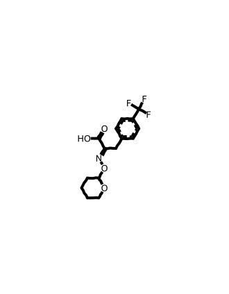 O=C(O)/C(Cc1ccc(C(F)(F)F)cc1)=N/OC1CCCCO1